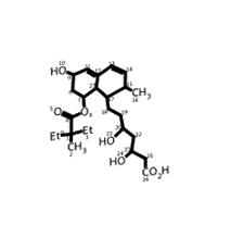 CCC(C)(CC)C(=O)OC1CC(O)C=C2C=CC(C)C(CCC(O)CC(O)CC(=O)O)C21